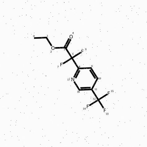 CCOC(=O)C(F)(F)c1ccc(C(F)(F)F)cn1